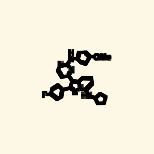 COc1ccc(Nc2nccc(-c3c(-c4ccc(F)cc4)nn4c(NC5CCCC5)cccc34)n2)cc1